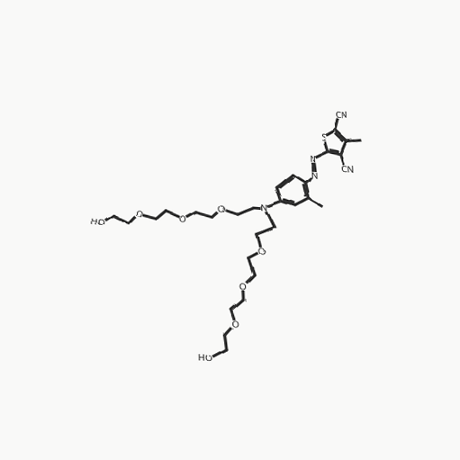 Cc1cc(N(CCOCCOCCOCCO)CCOCCOCCOCCO)ccc1N=Nc1sc(C#N)c(C)c1C#N